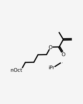 C=C(C)C(=O)OCCCCCCCCCCCC.[CH2]C(C)C